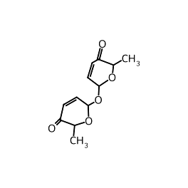 CC1OC(OC2C=CC(=O)C(C)O2)C=CC1=O